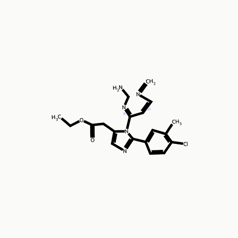 C=N/C=C\C(=N/CN)n1c(CC(=O)OCC)cnc1-c1ccc(Cl)c(C)c1